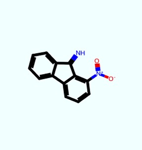 N=C1c2ccccc2-c2cccc([N+](=O)[O-])c21